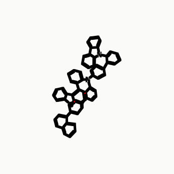 c1cc(-c2ccc(-c3cccc4ccccc34)cc2)cc(N(c2ccc(-c3ccccc3-n3c4ccccc4c4ccccc43)cc2)c2ccccc2-c2cccc3oc4ccccc4c23)c1